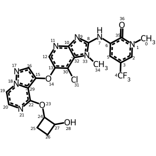 Cn1cc(C(F)(F)F)cc(Nc2nc3ncc(Oc4cnn5ccnc(OC6CCC6O)c45)c(Cl)c3n2C)c1=O